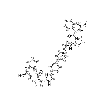 COC(=O)N[C@@H](C(=O)N1CCC[C@H]1c1nc(C23CCC(c4ccc(-c5c[nH]c([C@@H]6CCCN6C(=O)[C@@H](c6ccccc6)N(C)C(=O)O)n5)cc4)(CC2)CC3)c[nH]1)c1ccccc1